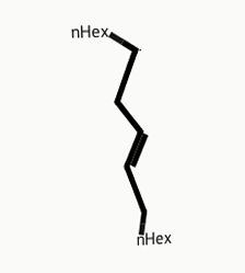 [CH2]CCCCCC/C=C/C[CH]CCCCCC